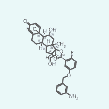 C[C@]12C=CC(=O)C=C1CC[C@@H]1[C@@H]2[C@@H](O)C[C@@]2(C)[C@H]1C[C@H]1O[C@H](c3cc(OCc4cccc(N)c4)ccc3F)O[C@]12C(=O)CO